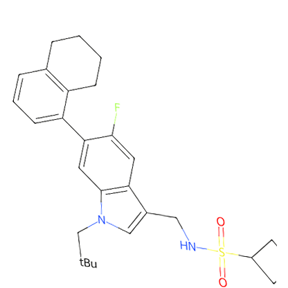 CC(C)(C)Cn1cc(CNS(=O)(=O)C2CCC2)c2cc(F)c(-c3cccc4c3CCCC4)cc21